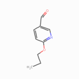 [CH2]CCOc1ccc(C=O)cn1